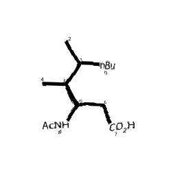 CCCCC(C)C(C)C(CC(=O)O)NC(C)=O